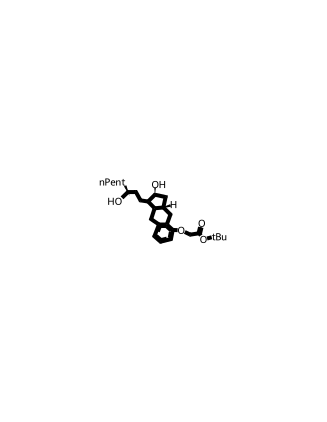 CCCCC[C@H](O)CCC1C2Cc3cccc(OCC(=O)OC(C)(C)C)c3C[C@H]2C[C@H]1O